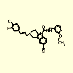 CCOc1cc(CNC(=O)n2c3c(c4cc(C#N)ccc42)CN(C/C=C/c2ccc(Cl)c(F)c2)CC3)ccn1